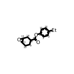 CCc1ccc(OC(=O)C2CCC3OC3C2)cc1